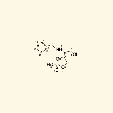 CC1(C)OCC(C(CO)CNCc2ccccc2)O1